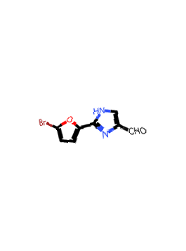 O=Cc1c[nH]c(-c2ccc(Br)o2)n1